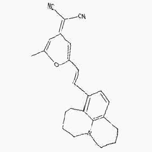 CC1=CC(=C(C#N)C#N)C=C(C=Cc2ccc3c4c2CCCN4CCC3)O1